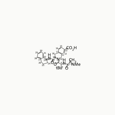 CN[C@@H](C)C(=O)NC(C(=O)N1Cc2cc(C(=O)O)ccc2C[C@H]1C(=O)N[C@@H]1CCCc2ccccc21)C(C)(C)C